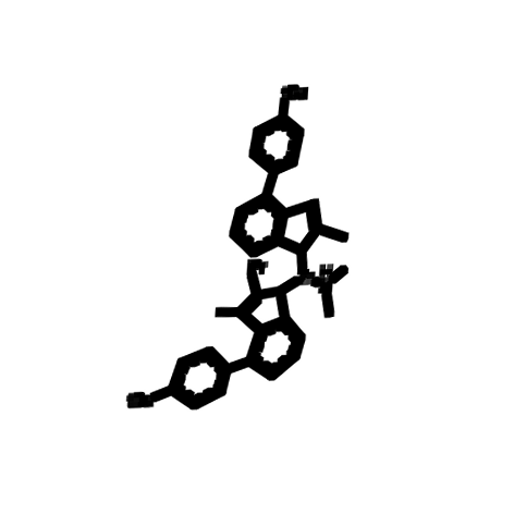 CC1=Cc2c(-c3ccc(C(C)(C)C)cc3)cccc2[CH]1[Zr]([CH]1C(C(C)C)=C(C)c2c(-c3ccc(C(C)(C)C)cc3)cccc21)[SiH](C)C